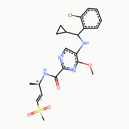 COc1nc(C(=O)N[C@H](C)/C=C/S(C)(=O)=O)ncc1NC(c1ccccc1Cl)C1CC1